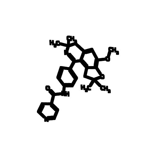 COc1cc2c(c3c1OC(C)(C)C3)C(c1ccc(NC(=O)c3ccncc3)cc1)=NC(C)(C)C2